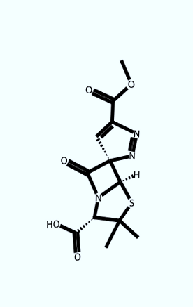 COC(=O)C1=C[C@@]2(N=N1)C(=O)N1[C@@H](C(=O)O)C(C)(C)S[C@@H]12